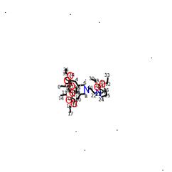 CCO[Si](CCCN(CCC[Si](OCC)(OCC)OCC)CCN1CCC[Si]1(OCC)OCC)(OCC)OCC